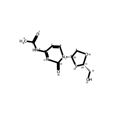 CC(=O)Nc1ccn([C@@H]2CO[C@H](CO)S2)c(=O)n1